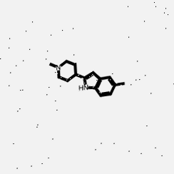 Cc1ccc2[nH]c(C3CCN(C)CC3)cc2c1